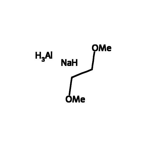 COCCOC.[AlH3].[NaH]